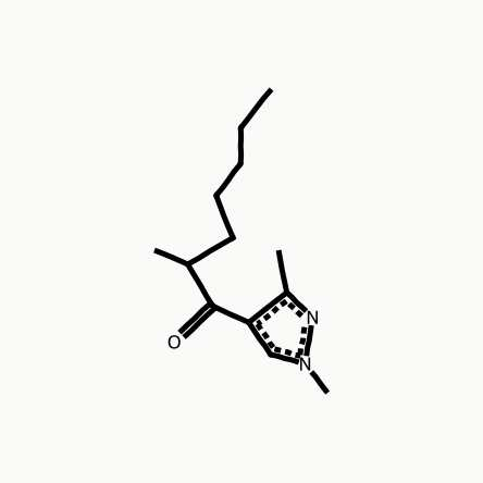 CCCCCC(C)C(=O)c1cn(C)nc1C